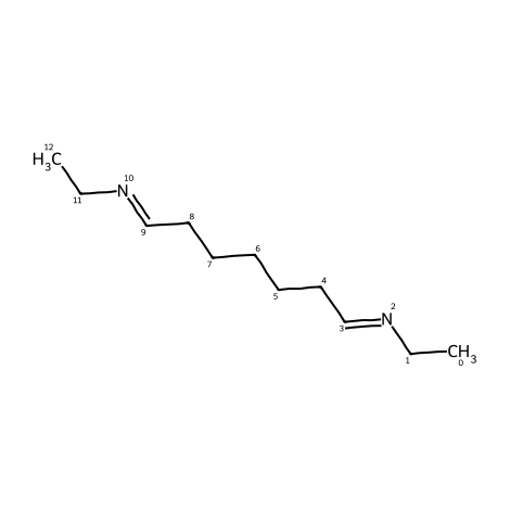 CCN=CCCCCCC=NCC